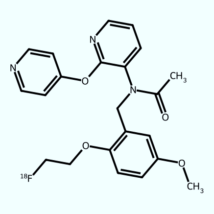 COc1ccc(OCC[18F])c(CN(C(C)=O)c2cccnc2Oc2ccncc2)c1